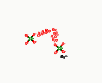 O.O.O.O.O.O.O.O.[Mg+2].[O-][Cl+3]([O-])([O-])[O-].[O-][Cl+3]([O-])([O-])[O-]